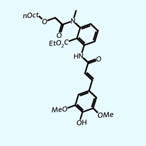 CCCCCCCCOCC(=O)N(C)c1cccc(NC(=O)/C=C/c2cc(OC)c(O)c(OC)c2)c1C(=O)OCC